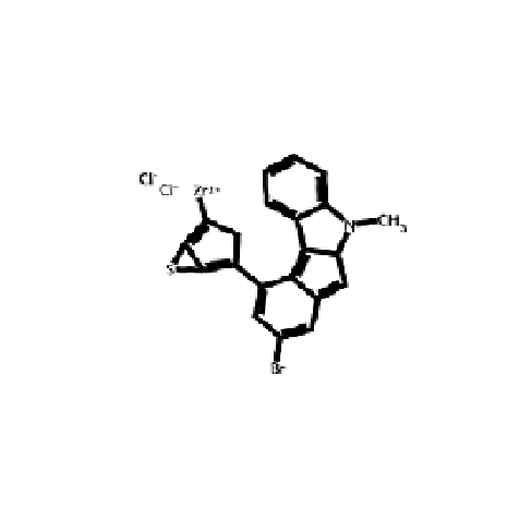 CN1c2ccccc2C2=c3c(C4=C5SC5=[C]([Zr+2])C4)cc(Br)cc3=CC21.[Cl-].[Cl-]